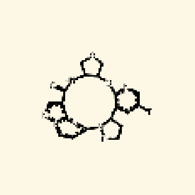 O=C1NC2COCC2Oc2ncc(F)cc2C2CCON2c2ccn3ncc1c3n2